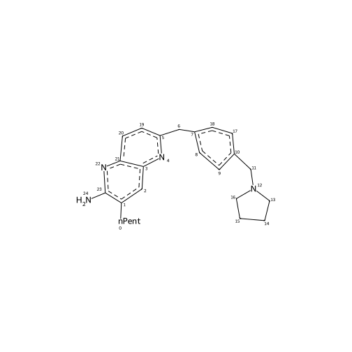 CCCCCc1cc2nc(Cc3ccc(CN4CCCC4)cc3)ccc2nc1N